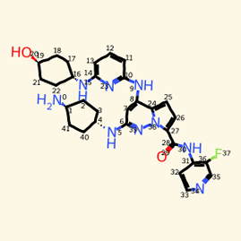 N[C@H]1CC[C@H](Nc2cc(Nc3cccc(N[C@H]4CC[C@H](O)CC4)n3)c3ccc(C(=O)Nc4ccncc4F)n3n2)CC1